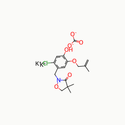 C=C(C)COc1cc(CN2OCC(C)(C)C2=O)c(Cl)cc1O.O=C([O-])[O-].[K+].[K+]